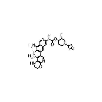 Cc1c(-c2cc3cc(NC(=O)O[C@@H]4CCN(C5COC5)C[C@H]4F)ncc3c(N)c2F)cnc2c1NCCO2